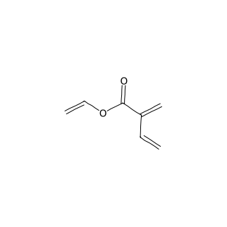 C=COC(=O)C(=C)C=C